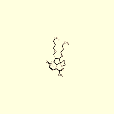 CCCCOC[C@H]1O[C@@H](N(/C=C\C(C)=O)C(C)=O)[C@@]2(CCO2)[C@@H]1OCCCC